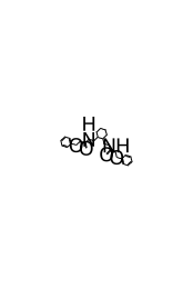 O=C(COc1ccccc1)NCC1CCCCC1CNC(=O)COc1ccccc1